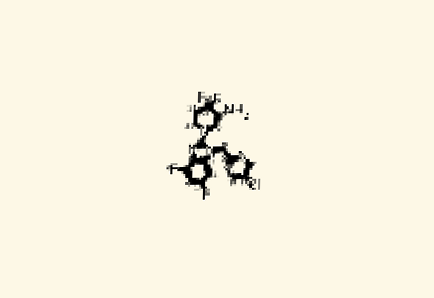 N[C@@H]1CN(c2nc3c(F)cc(F)cc3n2Cc2ncc(Cl)cn2)CCC1(F)F